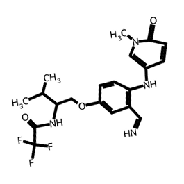 CC(C)C(COc1ccc(Nc2ccc(=O)n(C)c2)c(C=N)c1)NC(=O)C(F)(F)F